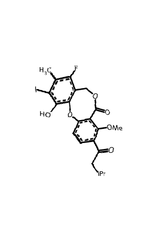 COc1c(C(=O)CC(C)C)ccc2c1C(=O)OCc1c(F)c(C)c(I)c(O)c1O2